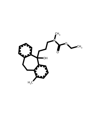 CCOC(=O)N(C)CCCC1(O)c2ccccc2CCc2c(C)cccc21